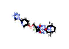 Fc1cnc(N2[C@@H]3CC[C@H]2C[C@H](n2ncc(COc4ccc(-n5cnnn5)nc4)n2)C3)nc1